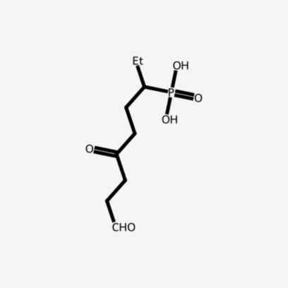 CCC(CCC(=O)CCC=O)P(=O)(O)O